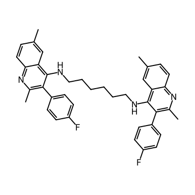 Cc1ccc2nc(C)c(-c3ccc(F)cc3)c(NCCCCCCNc3c(-c4ccc(F)cc4)c(C)nc4ccc(C)cc34)c2c1